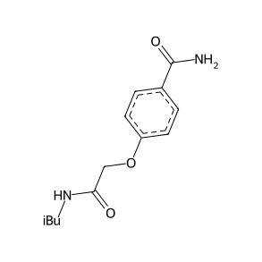 CCC(C)NC(=O)COc1ccc(C(N)=O)cc1